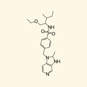 CCOCC(NS(=O)(=O)c1ccc(CN2c3ccncc3NC2C)cc1)C(C)CC